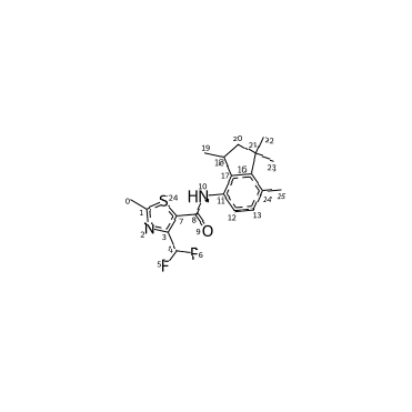 Cc1nc(C(F)F)c(C(=O)Nc2ccc(C)c3c2C(C)CC3(C)C)s1